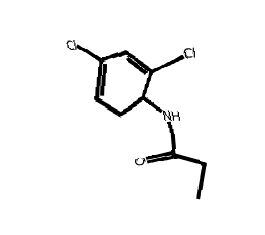 CCC(=O)NC1CC=C(Cl)C=C1Cl